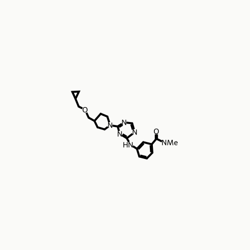 CNC(=O)c1cccc(Nc2ncnc(N3CCC(COCC4CC4)CC3)n2)c1